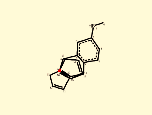 CBc1ccc2c(c1)C1C3=C(C=CC3)C2C2=C1CC=C2